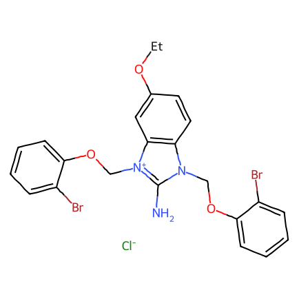 CCOc1ccc2c(c1)[n+](COc1ccccc1Br)c(N)n2COc1ccccc1Br.[Cl-]